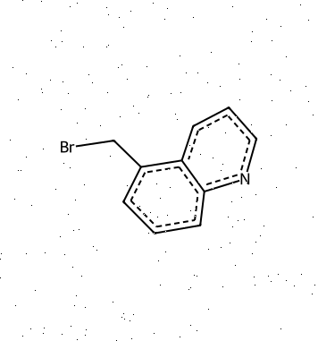 BrCc1cccc2ncccc12